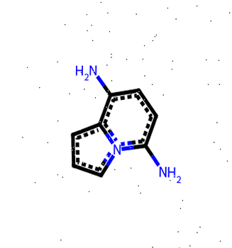 Nc1ccc(N)n2cccc12